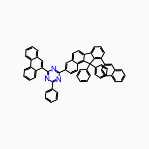 c1ccc(-c2nc(-c3ccc4c5c(ccc4c3)-c3cccc(-c4ccc6ccccc6c4)c3C5(c3ccccc3)c3ccccc3)nc(-c3cc4ccccc4c4ccccc34)n2)cc1